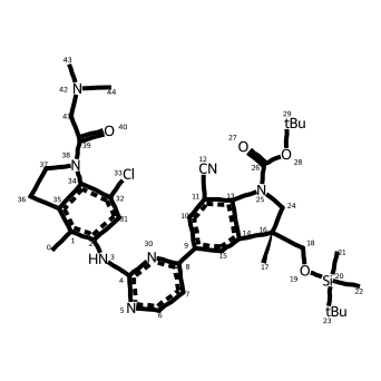 Cc1c(Nc2nccc(-c3cc(C#N)c4c(c3)[C@@](C)(CO[Si](C)(C)C(C)(C)C)CN4C(=O)OC(C)(C)C)n2)cc(Cl)c2c1CCN2C(=O)CN(C)C